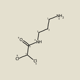 NCCCNC(=O)C(Cl)Cl